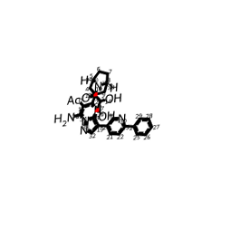 CC(=O)c1c(C2C[C@H]3CC[C@@H](C2)N3C(=O)C(O)CO)nc2c(-c3ccc(-c4ccccc4)nc3)cnn2c1N